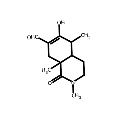 CC1C(O)=C(C=O)CC2(C)C(=O)N(C)CCC12